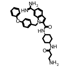 N=C(N)c1ccc2cc(C(=O)N[C@H]3CC[C@H](NC(=O)CCN)CC3)n(Cc3ccc(Oc4ccccc4)cc3)c2c1